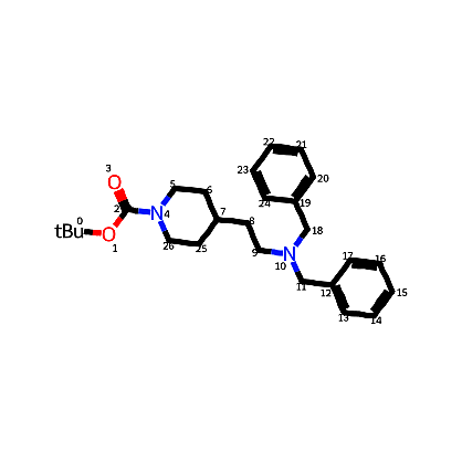 CC(C)(C)OC(=O)N1CCC(CCN(Cc2ccccc2)Cc2ccccc2)CC1